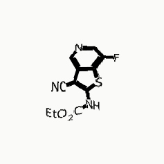 CCOC(=O)Nc1sc2c(F)cncc2c1C#N